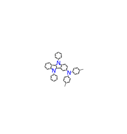 Cc1ccc(N(c2ccc(C)cc2)c2ccc3c(c2)c2c(c4ccccc4n2-c2ccccc2)n3-c2ccccc2)cc1